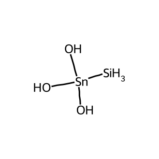 [OH][Sn]([OH])([OH])[SiH3]